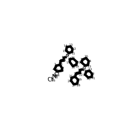 C(=CC1CCCCC1)CP(C1CCCCC1)C1CCCCC1.C(=CC1CCCCC1)CP(C1CCCCC1)C1CCCCC1.[Cl][Ni][Cl]